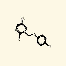 O=c1ncc(C(F)(F)F)cn1COc1ccc(Cl)cc1